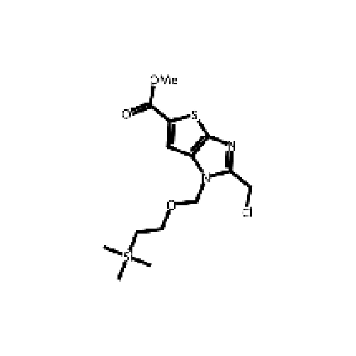 COC(=O)c1cc2c(nc(CCl)n2COCC[Si](C)(C)C)s1